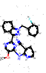 COc1cnc(-c2nn(Cc3ccccc3F)c3ccccc23)nc1Nc1ncccc1C#N